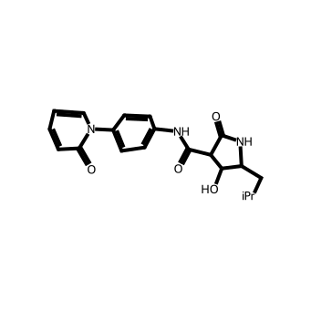 CC(C)CC1NC(=O)C(C(=O)Nc2ccc(-n3ccccc3=O)cc2)C1O